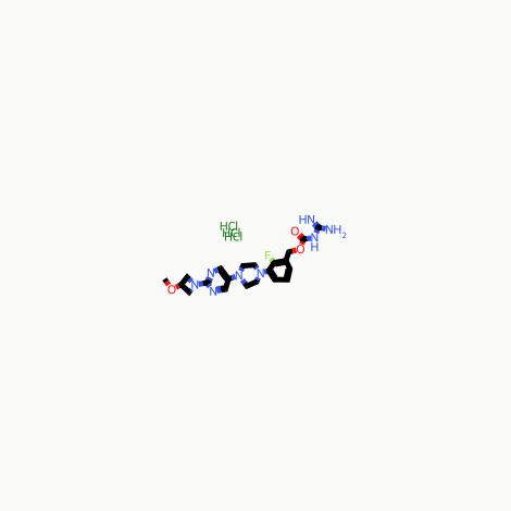 COC1CN(c2ncc(N3CCN(c4cccc(COC(=O)NC(=N)N)c4F)CC3)cn2)C1.Cl.Cl.Cl